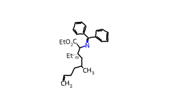 C=CCCC(C)C[C@H](CC)C(N=C(c1ccccc1)c1ccccc1)C(=O)OCC